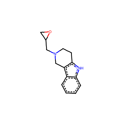 c1ccc2c3c([nH]c2c1)CCN(CC1CO1)C3